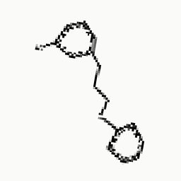 CCc1cccc(CCCOc2ccccc2)c1